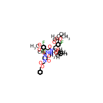 COc1c(F)cc(C(NC(=O)N2CCN(CC(=O)OCc3ccccc3)C(=O)C2=O)C(=O)NC(Cc2ccc(F)c(C(=O)OC(C)(C)C)c2OC)B2O[C@@H]3C[C@@H]4C[C@@H](C4(C)C)[C@]3(C)O2)c(Cl)c1OC